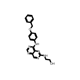 OCCNc1ncc2ncnc(Nc3ccc(OCc4ccccc4)cc3)c2n1